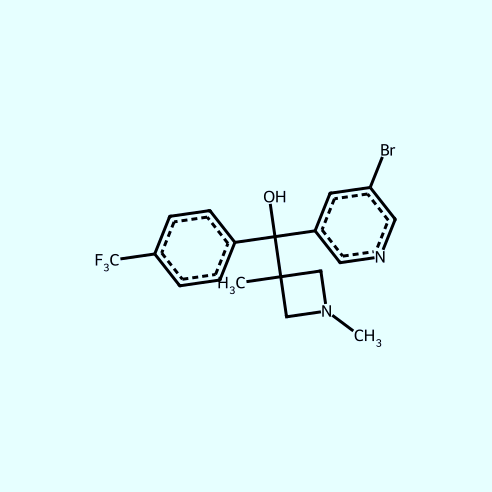 CN1CC(C)(C(O)(c2ccc(C(F)(F)F)cc2)c2cncc(Br)c2)C1